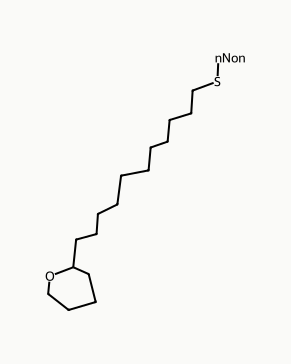 CCCCCCCCCSCCCCCCCCCCCC1CCCCO1